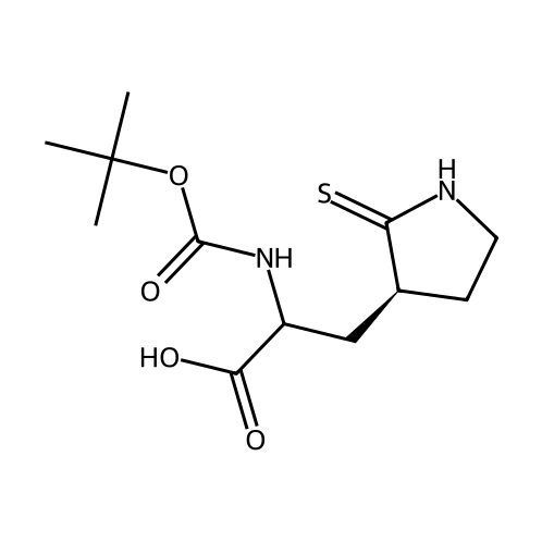 CC(C)(C)OC(=O)NC(C[C@@H]1CCNC1=S)C(=O)O